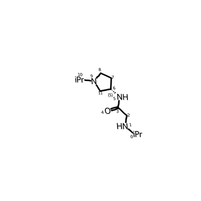 CC(C)NCC(=O)N[C@H]1CCN(C(C)C)C1